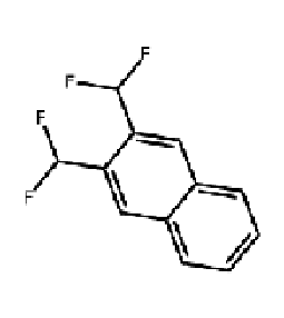 FC(F)c1cc2ccccc2cc1C(F)F